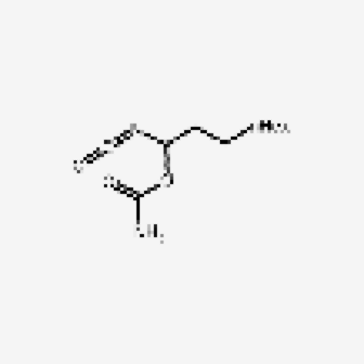 CCCCCCCCC(N=C=O)OC(N)=O